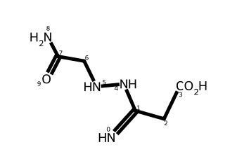 N=C(CC(=O)O)NNCC(N)=O